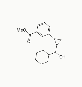 COC(=O)c1cccc(C2CC2C(O)C2CCCCC2)c1